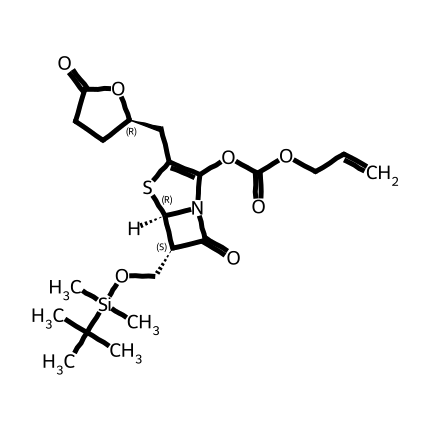 C=CCOC(=O)OC1=C(C[C@H]2CCC(=O)O2)S[C@@H]2[C@@H](CO[Si](C)(C)C(C)(C)C)C(=O)N12